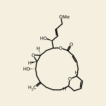 C=C1CCC[C@@H]2CC=C[C@@H](C/C=C\C(=O)OC([C@@H](O)/C=C/COC)C[C@@H]3O[C@H]3[C@@H](O)C1)O2